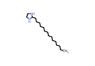 CCCCCCCCCCCCCCCC1NCCN1